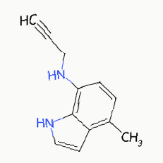 C#CCNc1ccc(C)c2cc[nH]c12